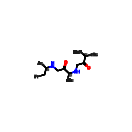 CCCC[C@H](NC)C(=O)CN[C@@H](CCCC)C(=O)CN[C@@H](CC(C)C)C(C)=O